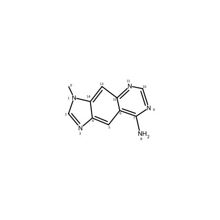 Cn1cnc2cc3c(N)ncnc3cc21